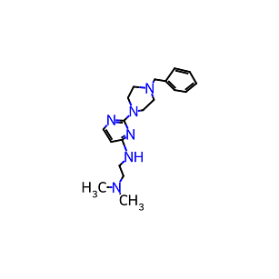 CN(C)CCNc1ccnc(N2CCN(Cc3ccccc3)CC2)n1